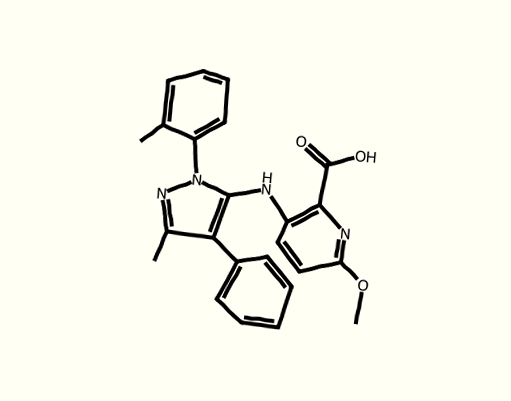 COc1ccc(Nc2c(-c3ccccc3)c(C)nn2-c2ccccc2C)c(C(=O)O)n1